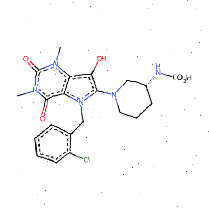 Cn1c(=O)c2c(c(O)c(N3CCC[C@@H](NC(=O)O)C3)n2Cc2ccccc2Cl)n(C)c1=O